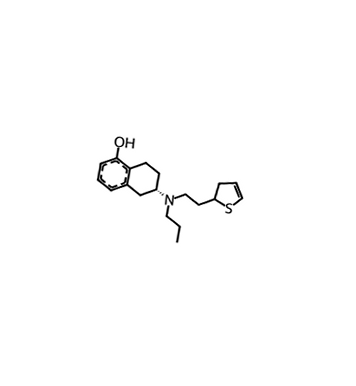 CCCN(CCC1CC=CS1)[C@H]1CCc2c(O)cccc2C1